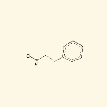 ClPCCc1ccccc1